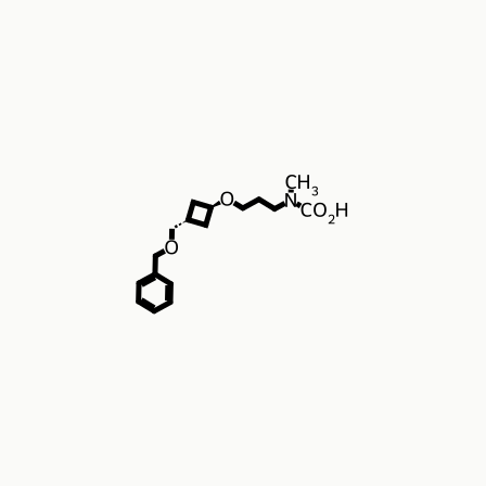 CN(CCCO[C@H]1C[C@H](COCc2ccccc2)C1)C(=O)O